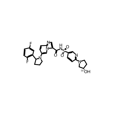 O=C(NS(=O)(=O)c1ccc(N2CC[C@H](O)C2)nc1)c1cnc2ccc(N3CCCC3c3cc(F)ccc3F)cn12